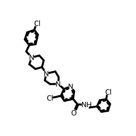 O=C(NCc1cccc(Cl)c1)c1cnc(N2CCN(C3CCN(Cc4ccc(Cl)cc4)CC3)CC2)c(Cl)c1